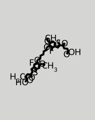 COc1cc2sc(C(=O)CCC(=O)O)cc2c(F)c1OCCCCCOc1c(OC)cc2sc(C(=O)C[C@H](C)C(=O)O)cc2c1F